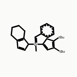 CC(C)(C)C1=C(C(C)(C)C)C[C]([Zr]([CH3])(=[CH]c2ccccc2)[CH]2C=CC3=C2CCCC3)=C1